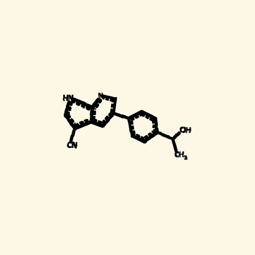 CC(O)c1ccc(-c2cnc3[nH]cc(C#N)c3c2)cc1